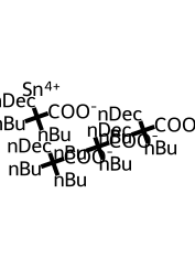 CCCCCCCCCCC(CCCC)(CCCC)C(=O)[O-].CCCCCCCCCCC(CCCC)(CCCC)C(=O)[O-].CCCCCCCCCCC(CCCC)(CCCC)C(=O)[O-].CCCCCCCCCCC(CCCC)(CCCC)C(=O)[O-].[Sn+4]